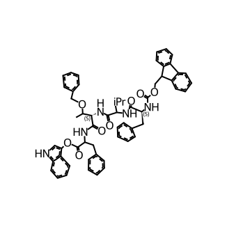 CC(C)C(NC(=O)[C@H](Cc1ccccc1)NC(=O)OCC1c2ccccc2-c2ccccc21)C(=O)N[C@H](C(=O)NC(Cc1ccccc1)C(=O)Oc1c[nH]c2ccccc12)C(C)OCc1ccccc1